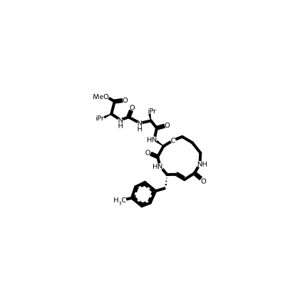 COC(=O)[C@@H](NC(=O)N[C@H](C(=O)N[C@H]1CCCCNC(=O)/C=C/[C@H](Cc2ccc(C)cc2)NC1=O)C(C)C)C(C)C